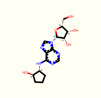 OC[C@H]1O[C@@H](n2cnc3c(N[C@@H]4CCC[C@H]4O)ncnc32)[C@@H](O)[C@H]1O